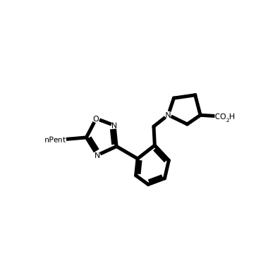 CCCCCc1nc(-c2ccccc2CN2CCC(C(=O)O)C2)no1